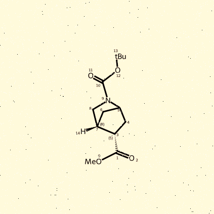 COC(=O)[C@H]1CC2C[C@H]1CN2C(=O)OC(C)(C)C